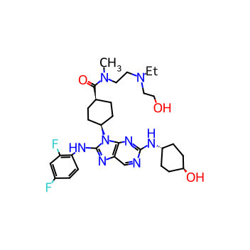 CCN(CCO)CCN(C)C(=O)[C@H]1CC[C@@H](n2c(Nc3ccc(F)cc3F)nc3cnc(N[C@H]4CC[C@H](O)CC4)nc32)CC1